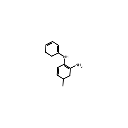 CC1C=CC(NC2=CC=CCC2)=C(N)C1